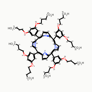 O=C(O)CCCOc1cc(OCCCC(=O)O)cc(-c2c3nc(c(-c4cc(OCCCC(=O)O)cc(OCCCC(=O)O)c4)c4ccc([nH]4)c(-c4cc(OCCCC(=O)O)cc(OCCCC(=O)O)c4)c4nc(c(-c5cc(OCCCC(=O)O)cc(OCCCC(=O)O)c5)c5ccc2[nH]5)C=C4)C=C3)c1